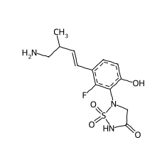 CC(/C=C/c1ccc(O)c(N2CC(=O)NS2(=O)=O)c1F)CN